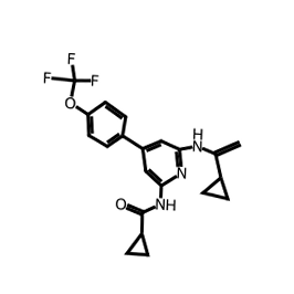 C=C(Nc1cc(-c2ccc(OC(F)(F)F)cc2)cc(NC(=O)C2CC2)n1)C1CC1